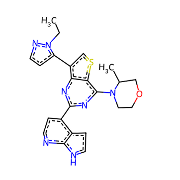 CCn1nccc1-c1csc2c(N3CCOCC3C)nc(-c3ccnc4[nH]ccc34)nc12